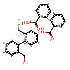 O=C(O)c1ccccc1.O=C(O)c1ccccc1.OCc1ccccc1-c1ccccc1CO